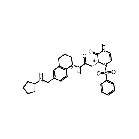 O=C(C[C@@H]1C(=O)NC=CN1S(=O)(=O)c1ccccc1)N[C@@H]1CCCc2cc(CNC3CCCC3)ccc21